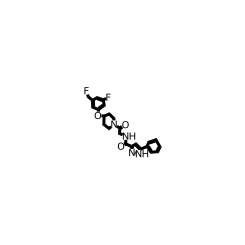 O=C(NCC(=O)N1CCC(Oc2cc(F)cc(CF)c2)CC1)c1cc(-c2ccccc2)[nH]n1